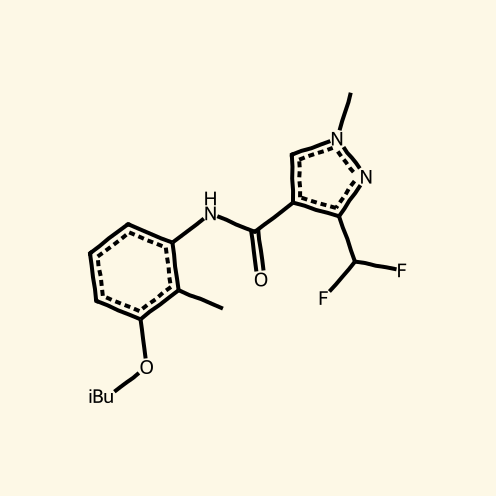 CCC(C)Oc1cccc(NC(=O)c2cn(C)nc2C(F)F)c1C